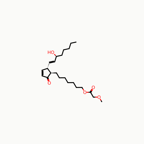 CCCCC[C@H](O)/C=C/[C@H]1C=CC(=O)[C@@H]1CCCCCCCOC(=O)COC